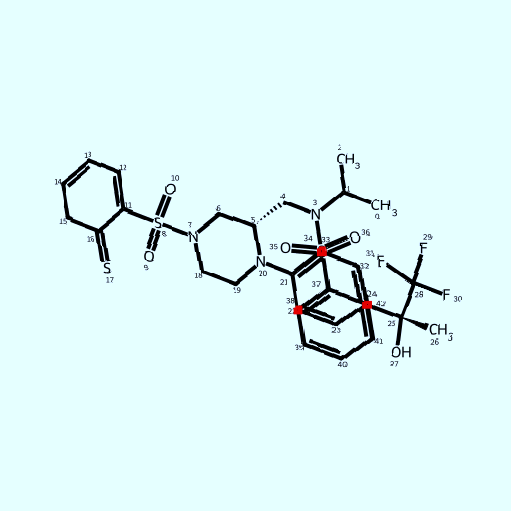 CC(C)N(C[C@H]1CN(S(=O)(=O)C2=CC=CCC2=S)CCN1c1ccc([C@@](C)(O)C(F)(F)F)cc1)S(=O)(=O)c1ccccc1